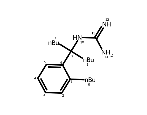 CCCCc1ccccc1C(CCCC)(CCCC)NC(=N)N